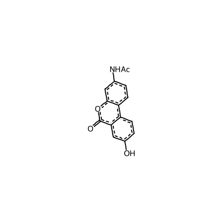 CC(=O)Nc1ccc2c(c1)oc(=O)c1cc(O)ccc12